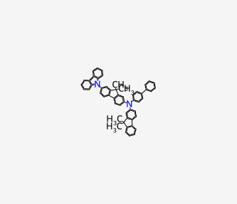 CC1(C)c2ccccc2-c2ccc(N(c3ccc(-c4ccccc4)cc3)c3ccc4c(c3)C(C)(C)c3cc(-n5c6ccccc6c6ccccc65)ccc3-4)cc21